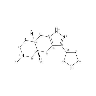 CN1CC[C@H]2Cc3[nH]nc(C4CCCC4)c3C[C@@H]2C1